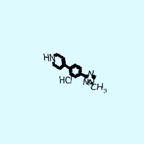 Cl.Cn1cnc(-c2ccc(C3=CCNCC3)cc2)n1